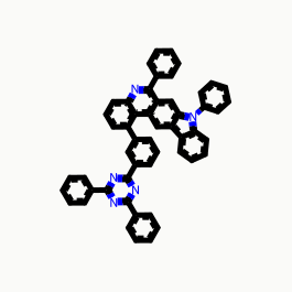 c1ccc(-c2nc(-c3ccccc3)nc(-c3cccc(-c4cccc5nc(-c6ccccc6)c6cc7c(cc6c45)c4ccccc4n7-c4ccccc4)c3)n2)cc1